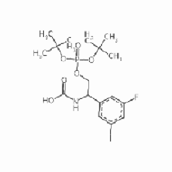 CC(C)(C)OP(=O)(OCC(NC(=O)O)c1cc(F)cc(I)c1)OC(C)(C)C